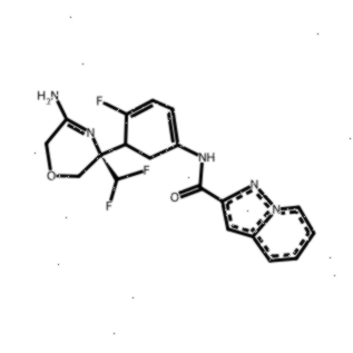 NC1=N[C@](C(F)F)(C2CC(NC(=O)c3cc4ccccn4n3)=CC=C2F)COC1